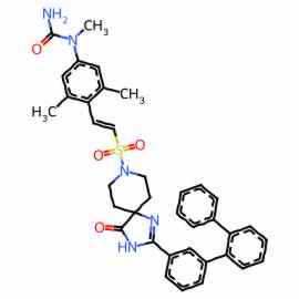 Cc1cc(N(C)C(N)=O)cc(C)c1/C=C/S(=O)(=O)N1CCC2(CC1)N=C(c1cccc(-c3ccccc3-c3ccccc3)c1)NC2=O